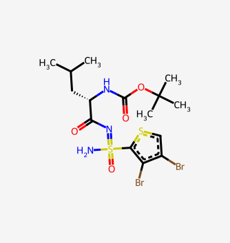 CC(C)C[C@H](NC(=O)OC(C)(C)C)C(=O)N=S(N)(=O)c1scc(Br)c1Br